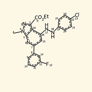 CCOC(=O)c1nn(C)c2nc(-c3cccc(F)c3)cc(NNc3ccc(Cl)cc3)c12